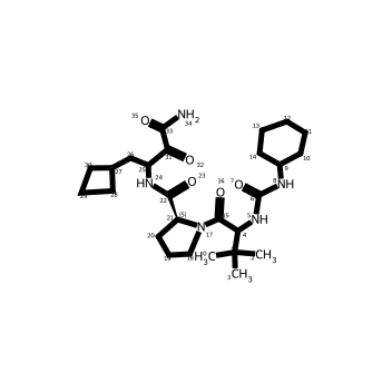 CC(C)(C)C(NC(=O)NC1CCCCC1)C(=O)N1CCC[C@H]1C(=O)NC(CC1CCC1)C(=O)C(N)=O